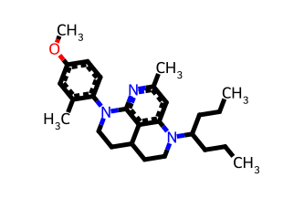 CCCC(CCC)N1CCC2CCN(c3ccc(OC)cc3C)c3nc(C)cc1c32